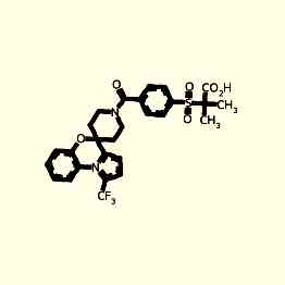 CC(C)(C(=O)O)S(=O)(=O)c1ccc(C(=O)N2CCC3(CC2)Oc2ccccc2-n2c(C(F)(F)F)ccc23)cc1